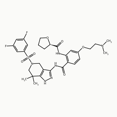 CN(C)CCOc1ccc(C(=O)Nc2n[nH]c3c2CN(S(=O)(=O)c2cc(F)cc(F)c2)CC3(C)C)c(NC(=O)[C@H]2CCCO2)c1